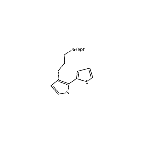 CCCCCCCCCCc1ccsc1-c1cccs1